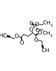 C#CCOC(=O)CCC(OP(=O)(OCC)OCC)C(=O)OCC#C